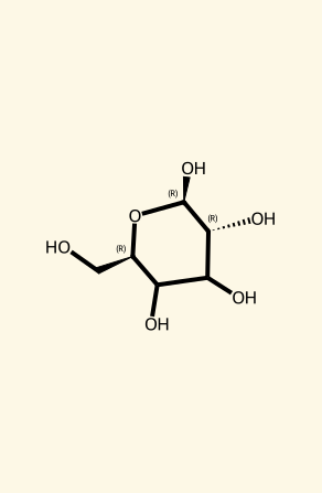 OC[C@H]1O[C@@H](O)[C@H](O)C(O)C1O